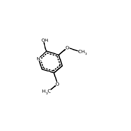 COc1cnc(O)c(OC)c1